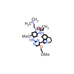 C=CC(=O)Nc1cc(Nc2ncc(OCCOC)c(-c3cn4c5c(cccc35)CCC4)n2)c(OC)cc1N(C)CCN(C)C